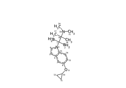 BC(B)(n1ccc2cc(OC3CC3)ccc21)C(C)(C)N(C)C